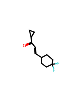 O=C(C=CC1CCC(F)(F)CC1)C1CC1